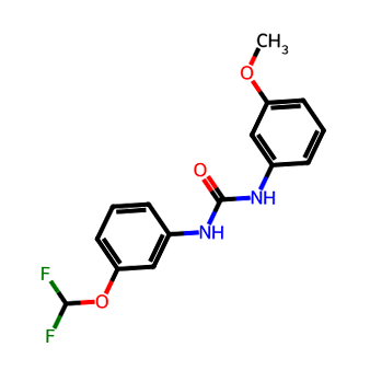 COc1cccc(NC(=O)Nc2cccc(OC(F)F)c2)c1